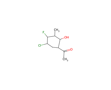 CC(=O)C1CC(Cl)C(F)C(C)C1O